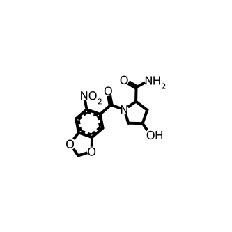 NC(=O)C1CC(O)CN1C(=O)c1cc2c(cc1[N+](=O)[O-])OCO2